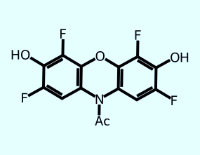 CC(=O)N1c2cc(F)c(O)c(F)c2Oc2c1cc(F)c(O)c2F